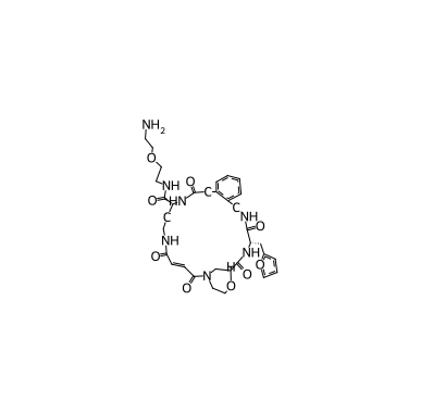 NCCOCCNC(=O)[C@@H]1CCNC(=O)/C=C/C(=O)N2CCO[C@H](C2)C(=O)N[C@@H](Cc2ccco2)C(=O)NCc2ccccc2CC(=O)N1